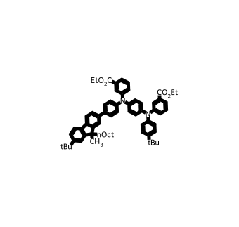 CCCCCCCCC1(C)c2cc(-c3ccc(N(c4ccc(N(c5ccc(C(C)(C)C)cc5)c5cccc(C(=O)OCC)c5)cc4)c4cccc(C(=O)OCC)c4)cc3)ccc2-c2ccc(C(C)(C)C)cc21